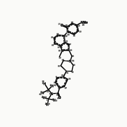 [2H]C([2H])([2H])N(C(=O)c1ccc(C2CCN(Cc3cc4c(-n5ccc(NC)cc5=O)ccnc4n3C)CC2)cc1)C([2H])([2H])[2H]